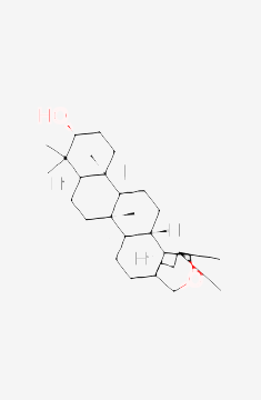 CC1(C)CCC23CC[C@]4(C)[C@H](CC[C@@H]5[C@@]6(C)CC[C@H](O)C(C)(C)[C@@H]6CC[C@]54C)[C@H]2C1OC3